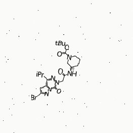 CC(C)c1nn(CC(=O)N[C@@H]2CCCN(C(=O)OC(C)(C)C)C2)c(=O)n2nc(Br)cc12